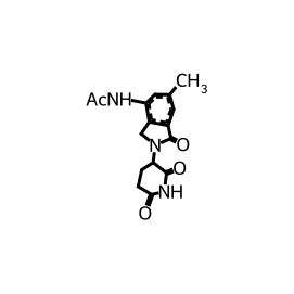 CC(=O)Nc1cc(C)cc2c1CN(C1CCC(=O)NC1=O)C2=O